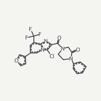 O=C(c1nc2c(C(F)(F)F)cc(-c3ccoc3)cn2c1Cl)N1CCN(c2ccccc2)C(=O)C1